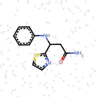 NC(=O)CC(Nc1ccccc1)c1nccs1